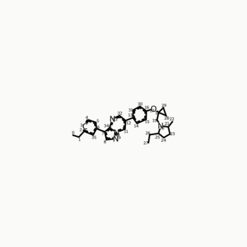 CCc1cccc(-c2cnn3cc(-c4ccc(OC5(CN6C(C)CCC6CC)CC5)cc4)cnc23)c1